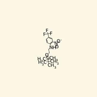 CC(C)(C)[Si](C)(C)OCCNc1ccc(C(F)(F)F)cc1[N+](=O)[O-]